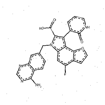 Nc1ncnc2cc(Cn3c(C(=O)O)c(-c4ccc[nH]c4=O)c4c5occc5c(F)cc43)ccc12